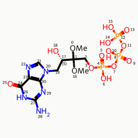 COC(COP(=O)(O)OP(=O)(O)OP(=O)(O)O)(OC)[C@@H](O)Cn1cnc2c(=O)[nH]c(N)nc21